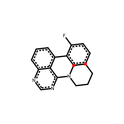 Fc1ccccc1-c1cccc2ncnc(N3CCCCC3)c12